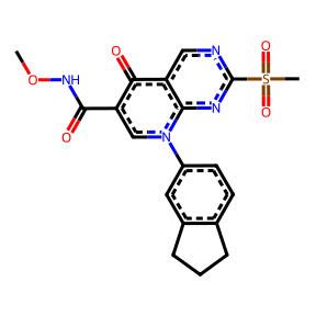 CONC(=O)c1cn(-c2ccc3c(c2)CCC3)c2nc(S(C)(=O)=O)ncc2c1=O